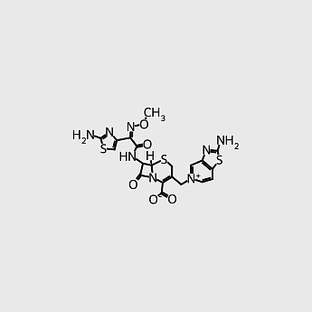 CO/N=C(\C(=O)NC1C(=O)N2C(C(=O)[O-])=C(C[n+]3ccc4sc(N)nc4c3)CS[C@@H]12)c1csc(N)n1